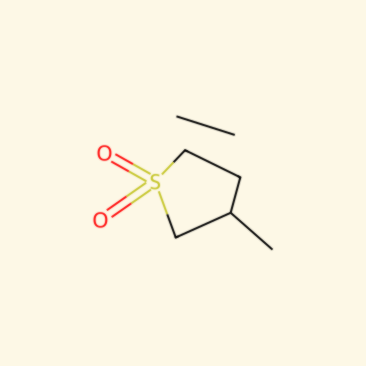 CC.CC1CCS(=O)(=O)C1